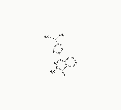 CC(C)c1ccc(-c2nn(C)c(=O)c3ccccc23)cc1